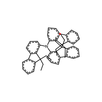 CCC1(CC)c2ccccc2-c2cccc(N(c3cccc4c3C(CC)(CC)c3ccccc3-4)c3cccc4c3C(CC)(CC)c3ccccc3-4)c21